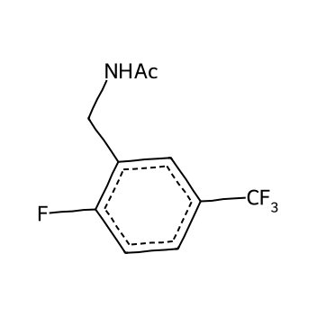 CC(=O)NCc1cc(C(F)(F)F)ccc1F